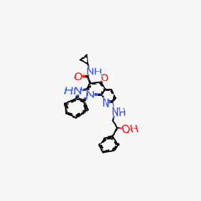 O=C(NC1CC1)c1c(=O)c2ccc(NCC(O)c3ccccc3)nc2n2c1[nH]c1ccccc12